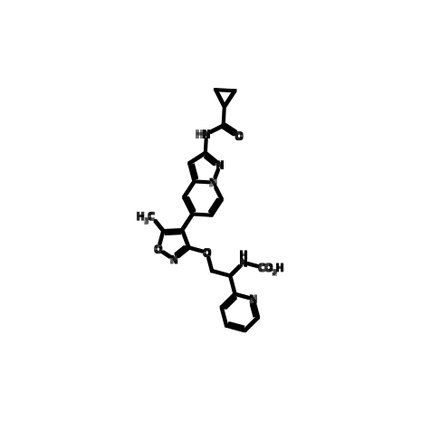 Cc1onc(OCC(NC(=O)O)c2ccccn2)c1-c1ccn2nc(NC(=O)C3CC3)cc2c1